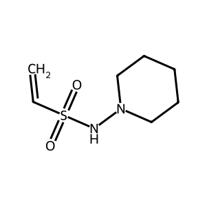 C=CS(=O)(=O)NN1CCCCC1